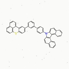 c1cc(-c2ccc(-n3c4ccc5ccccc5c4c4c5ccccc5ccc43)cc2)cc(-c2ccc3c(c2)-c2cccc4cccc(c24)S3)c1